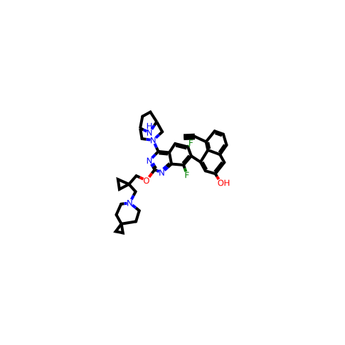 C#Cc1cccc2cc(O)cc(-c3c(F)cc4c(N5CC6CCC(C5)N6)nc(OCC5(CN6CCC7(CC6)CC7)CC5)nc4c3F)c12